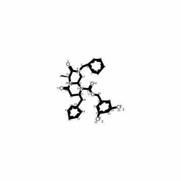 C[C@H]1C(=O)N(Cc2ccccc2)CC2N(C(=O)OCc3cc(C(F)(F)F)cc(C(F)(F)F)c3)C(Cc3ccccc3)CC(=O)N21